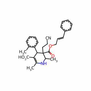 CC1=C(C(=O)O)C(c2ccccc2C)C(CCC#N)(C(=O)OCC=Cc2ccccc2)C(C)N1